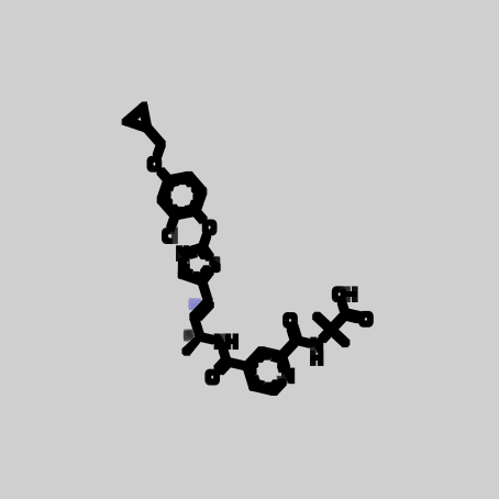 C[C@@H](/C=C/c1cnc(Oc2ccc(OCC3CC3)cc2Cl)s1)NC(=O)c1ccnc(C(=O)NC(C)(C)C(=O)O)c1